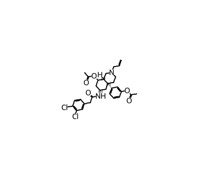 C=CCN1CC[C@@]2(c3cccc(OC(C)=O)c3)C[C@H](NC(=O)Cc3ccc(Cl)c(Cl)c3)CC(OC(C)=O)[C@@H]2C1